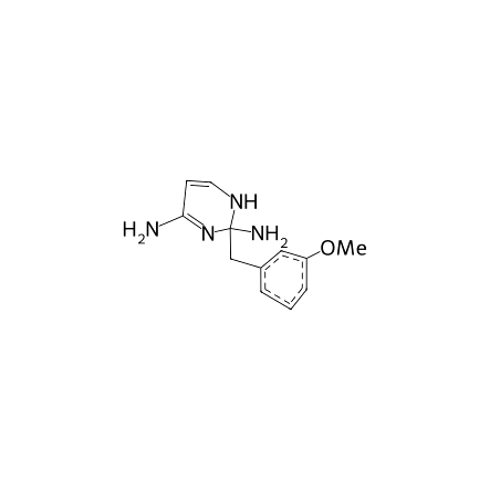 COc1cccc(CC2(N)N=C(N)C=CN2)c1